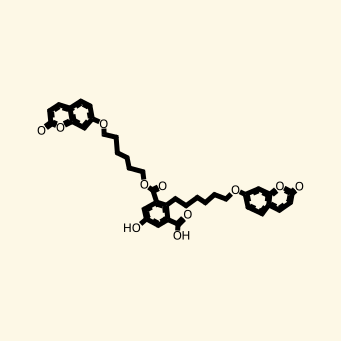 O=C(O)c1cc(O)cc(C(=O)OCCCCCCOc2ccc3ccc(=O)oc3c2)c1CCCCCCOc1ccc2ccc(=O)oc2c1